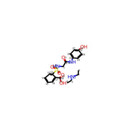 CCNCC.O=C(CNS(=O)(=O)c1ccccc1C(=O)O)Nc1ccc(O)cc1